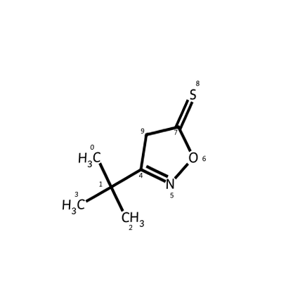 CC(C)(C)C1=NOC(=S)C1